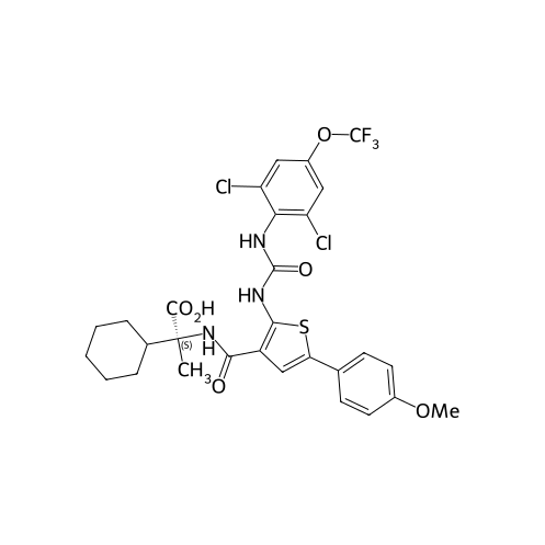 COc1ccc(-c2cc(C(=O)N[C@](C)(C(=O)O)C3CCCCC3)c(NC(=O)Nc3c(Cl)cc(OC(F)(F)F)cc3Cl)s2)cc1